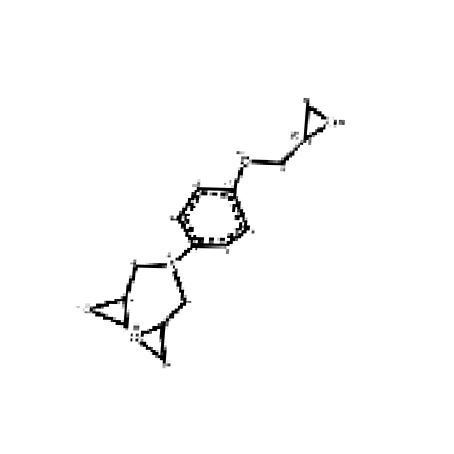 c1cc(N(CC2CO2)CC2CO2)ccc1OC[C@H]1CO1